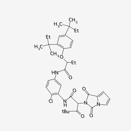 CCC(Oc1ccc(C(C)(C)CC)cc1C(C)(C)CC)C(=O)Nc1ccc(Cl)c(NC(=O)C(C(=O)C(C)(C)C)N2C(=O)c3cccn3C2=O)c1